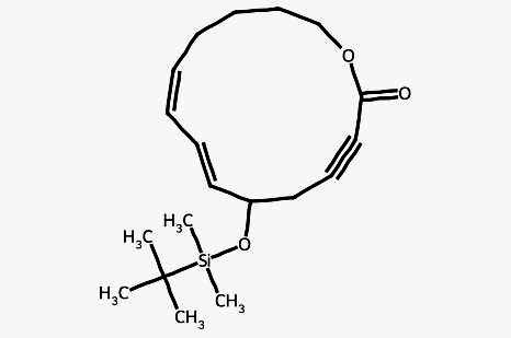 CC(C)(C)[Si](C)(C)OC1/C=C/C=C\CCCCOC(=O)C#CC1